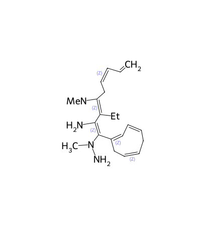 C=C/C=C\C/C(NC)=C(CC)/C(N)=C(\C1=C/C=CC/C=C\C1)N(C)N